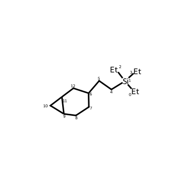 CC[Si](CC)(CC)CCC1CCC2CC2C1